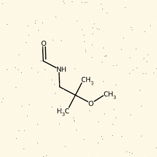 COC(C)(C)CN[C]=O